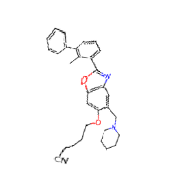 Cc1c(-c2ccccc2)cccc1-c1nc2cc(CN3CCCCC3)c(OCCCC#N)cc2o1